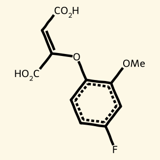 COc1cc(F)ccc1O/C(=C\C(=O)O)C(=O)O